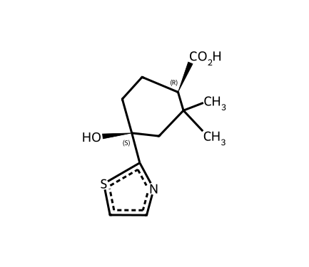 CC1(C)C[C@](O)(c2nccs2)CC[C@H]1C(=O)O